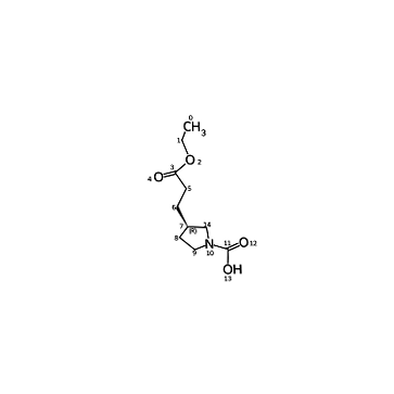 CCOC(=O)CC[C@@H]1CCN(C(=O)O)C1